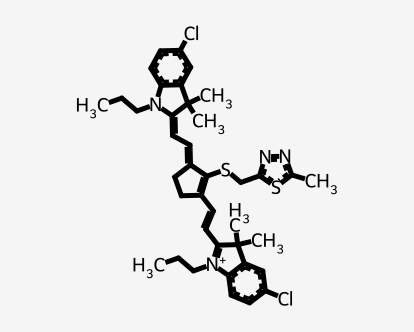 CCCN1/C(=C/C=C2\CCC(/C=C/C3=[N+](CCC)c4ccc(Cl)cc4C3(C)C)=C2SCc2nnc(C)s2)C(C)(C)c2cc(Cl)ccc21